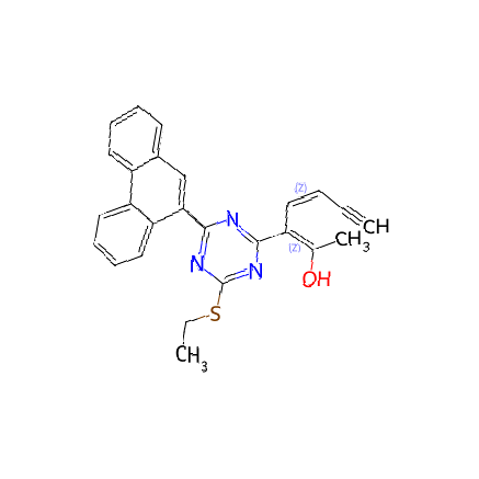 C#C/C=C\C(=C(/C)O)c1nc(SCC)nc(-c2cc3ccccc3c3ccccc23)n1